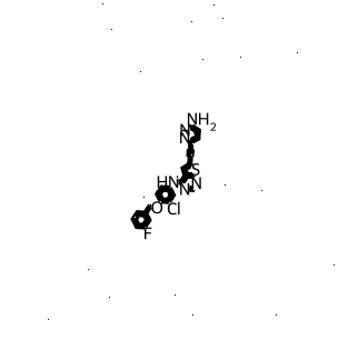 Nc1ccc(C#Cc2cc3c(Nc4ccc(OCc5cccc(F)c5)c(Cl)c4)ncnc3s2)nn1